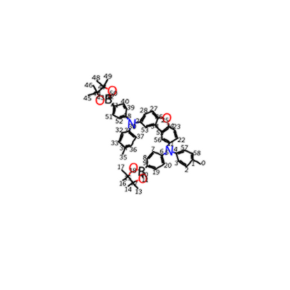 Cc1ccc(N(c2ccc(B3OC(C)(C)C(C)(C)O3)cc2)c2ccc3oc4ccc(N(c5ccc(C)cc5)c5ccc(B6OC(C)(C)C(C)(C)O6)cc5)cc4c3c2)cc1